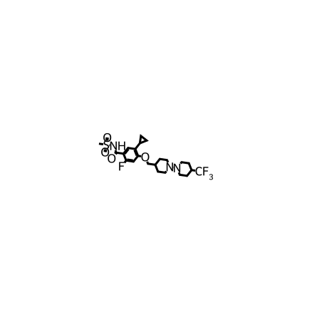 CS(=O)(=O)NC(=O)c1cc(C2CC2)c(OCC2CCN(N3CCC(C(F)(F)F)CC3)CC2)cc1F